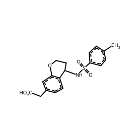 Cc1ccc(S(=O)(=O)NC2CCOc3cc(CC(=O)O)ccc32)cc1